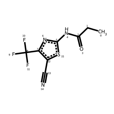 CCC(=O)Nc1nc(C(F)(F)F)c(C#N)s1